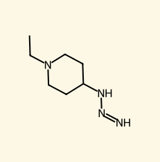 CCN1CCC(NN=N)CC1